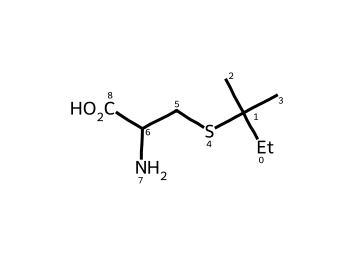 CCC(C)(C)SCC(N)C(=O)O